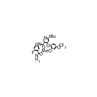 COc1cc(OC(F)(F)F)ccc1Oc1cc(C(C)(C)C)ncc1C(=O)Nc1ccc(F)c(C(N)=O)c1